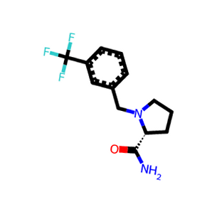 NC(=O)[C@H]1CCCN1Cc1cccc(C(F)(F)F)c1